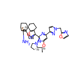 C[C@H](Oc1cc(-c2ccn(Cc3ncco3)n2)nc(-c2noc3c2CCC[C@@]32CCCc3sc(N)c(C#N)c32)n1)[C@@H]1CCCN1C